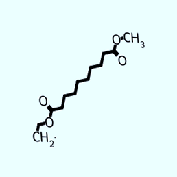 [CH2]COC(=O)CCCCCCCCC(=O)OC